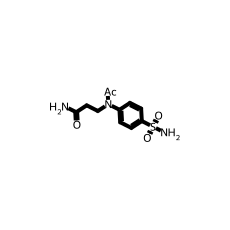 CC(=O)N(CCC(N)=O)c1ccc(S(N)(=O)=O)cc1